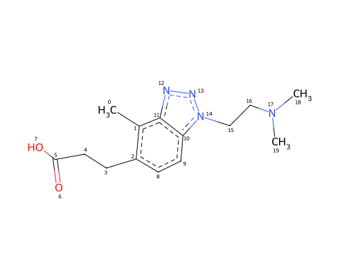 Cc1c(CCC(=O)O)ccc2c1nnn2CCN(C)C